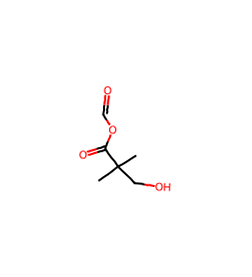 CC(C)(CO)C(=O)OC=O